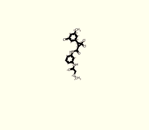 COCC(=O)Nc1cccc(NC(=O)C2C(c3cc(C)cc(Cl)c3)C2(Cl)Cl)c1